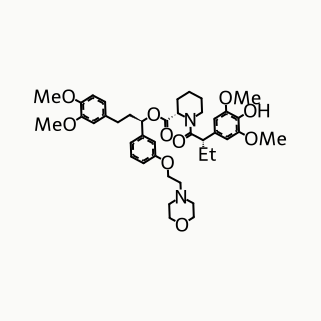 CC[C@H](C(=O)N1CCCC[C@H]1C(=O)O[C@H](CCc1ccc(OC)c(OC)c1)c1cccc(OCCN2CCOCC2)c1)c1cc(OC)c(O)c(OC)c1